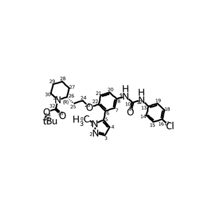 Cn1nccc1-c1cc(NC(=O)Nc2ccc(Cl)cc2)ccc1OCC[C@H]1CCCCN1C(=O)OC(C)(C)C